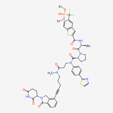 CCOP(=O)(OCC)C(F)(F)c1ccc2sc(C(=O)N[C@H](C(=O)N3CCC[C@H]3C(=O)N(CCC(=O)N(C)CCCC#Cc3cccc4c3CN(C3CCC(=O)NC3=O)C4=O)c3ccc(-c4nccs4)cc3)C(C)(C)C)cc2c1